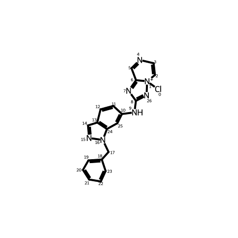 Cl[N+]12C=CN=CC1=NC(Nc1ccc3cnn(Cc4ccccc4)c3c1)=N2